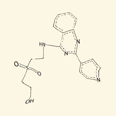 O=S(=O)(CCO)CCNc1nc(-c2ccncc2)nc2ccccc12